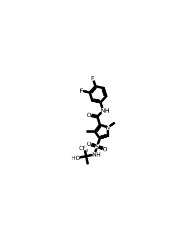 Cc1c(S(=O)(=O)NC(C)(O)C(F)(F)F)cn(C)c1C(=O)Nc1ccc(F)c(F)c1